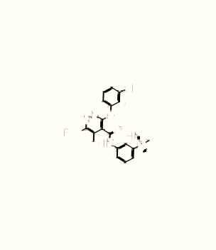 Cc1c(C(F)(F)F)nnc(Oc2cccc(Cl)c2)c1C(=O)Nc1cccc(S(C)(=N)=O)c1